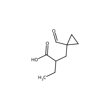 CCC(CC1(C=O)CC1)C(=O)O